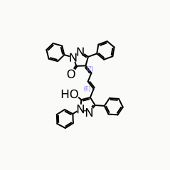 O=C1/C(=C\C=C\c2c(-c3ccccc3)nn(-c3ccccc3)c2O)C(c2ccccc2)=NN1c1ccccc1